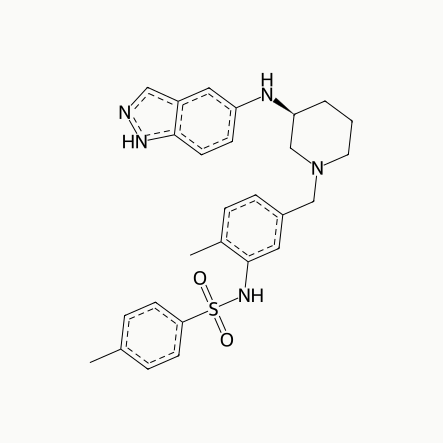 Cc1ccc(S(=O)(=O)Nc2cc(CN3CCC[C@H](Nc4ccc5[nH]ncc5c4)C3)ccc2C)cc1